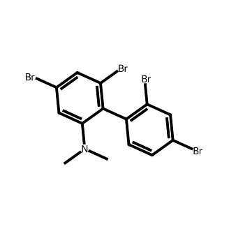 CN(C)c1cc(Br)cc(Br)c1-c1ccc(Br)cc1Br